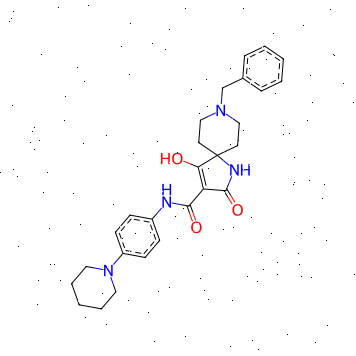 O=C(Nc1ccc(N2CCCCC2)cc1)C1=C(O)C2(CCN(Cc3ccccc3)CC2)NC1=O